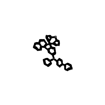 c1ccc(-c2ccc(N(c3ccccc3)c3ccc4c(c3)-c3c(ccc5ccccc35)C43c4ccccc4Oc4ccccc43)cc2)cc1